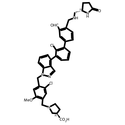 COc1cc(Cn2ncc3c(-c4cccc(-c5ccc(CNC[C@@H]6CCC(=O)N6)c(C=O)c5)c4Cl)cccc32)c(Cl)cc1CN1CC[C@@H](C(=O)O)C1